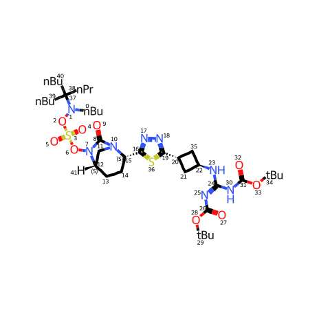 CCCCN(OS(=O)(=O)ON1C(=O)N2C[C@@H]1CC[C@H]2c1nnc([C@H]2C[C@H](NC(=NC(=O)OC(C)(C)C)NC(=O)OC(C)(C)C)C2)s1)C(CCC)(CCCC)CCCC